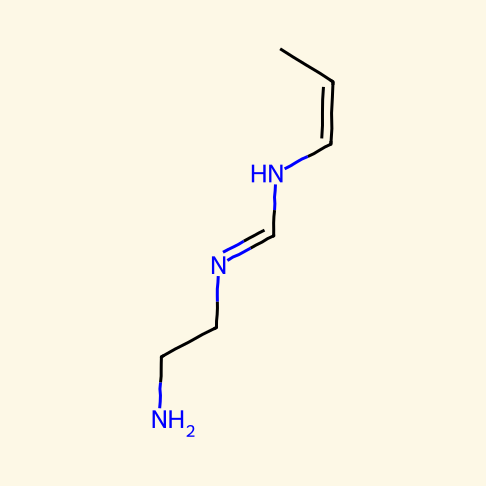 C/C=C\N/C=N/CCN